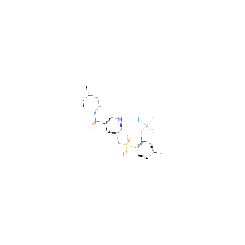 Cc1ccc(S(=O)(=O)Cc2cncc(C(=O)N3CCC(C)CC3)c2)c(OC(F)(F)F)c1